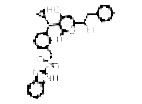 CCC(Cc1ccccc1)c1cc(O)c(C(c2cccc(CS(=O)(=O)c3nc4ccccc4[nH]3)c2)C2CC2)c(=O)o1